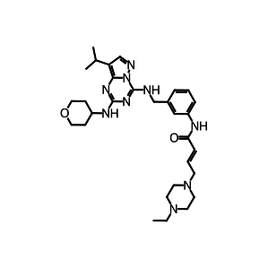 CCN1CCN(C/C=C/C(=O)Nc2cccc(CNc3nc(NC4CCOCC4)nc4c(C(C)C)cnn34)c2)CC1